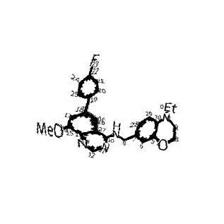 CCN1CCOc2cc(CNc3ncnc4c(OC)cc(-c5ccc(F)cc5)cc34)ccc21